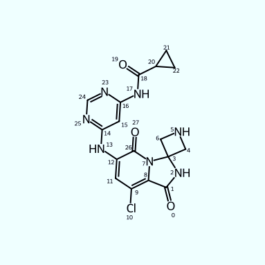 O=C1NC2(CNC2)n2c1c(Cl)cc(Nc1cc(NC(=O)C3CC3)ncn1)c2=O